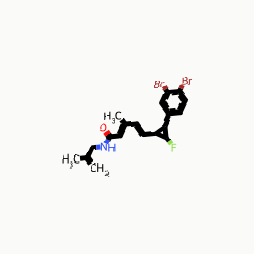 C=C(C)CNC(=O)C=C(C)C=CC1C(F)C1c1ccc(Br)c(Br)c1